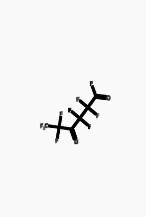 O=C(F)C(F)(F)C(F)(F)C(=O)C(F)(F)C(F)(F)F